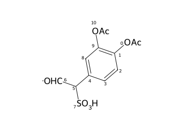 CC(=O)Oc1ccc(C([C]=O)S(=O)(=O)O)cc1OC(C)=O